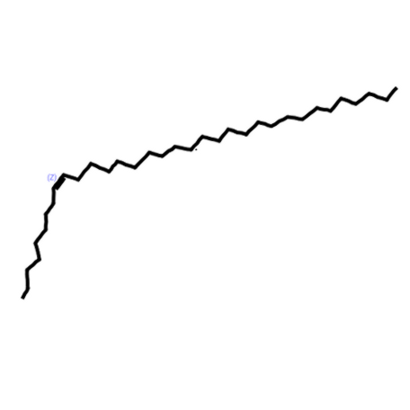 CCCCCCCC/C=C\CCCCCCCC[CH]CCCCCCCCCCCCCCC